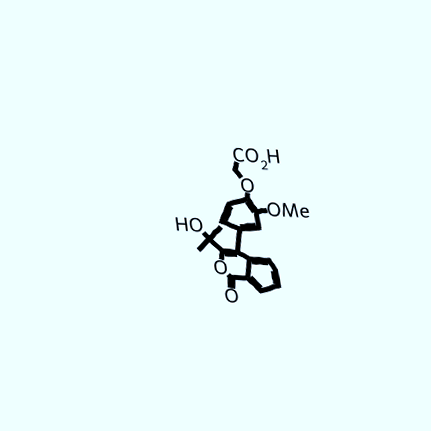 COc1cc(-c2c(C(C)(C)O)oc(=O)c3ccccc23)ccc1OCC(=O)O